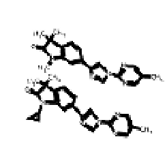 Cc1cnc(-n2cnc(-c3ccc4c(c3)N(C)C(=O)C4(C)C)c2)nc1.Cc1cnc(-n2cnc(-c3ccc4c(c3)N(C3CC3)C(=O)C4(C)C)c2)nc1